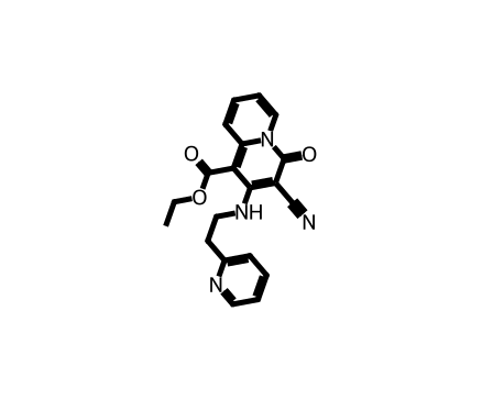 CCOC(=O)c1c(NCCc2ccccn2)c(C#N)c(=O)n2ccccc12